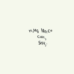 [CaH2].[Ce].[MgH2].[Mn].[SnH2]